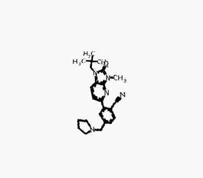 Cn1c(=O)n(CC(C)(C)C)c2ccc(-c3cc(CN4CCCC4)ccc3C#N)nc21